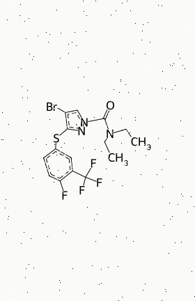 CCN(CC)C(=O)n1cc(Br)c(Sc2ccc(F)c(C(F)(F)F)c2)n1